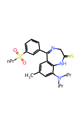 CCCS(=O)(=O)c1cccc(C2=NCC(=S)Nc3c2cc(C)cc3N(C(C)C)C(C)C)c1